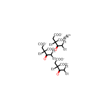 CCC(CC)C(=O)C(CC)(CC(=O)[O-])C(=O)[O-].CCC(CC)C(=O)C(CC)(CC(=O)[O-])C(=O)[O-].CCC(CC)C(=O)C(CC)(CC(=O)[O-])C(=O)[O-].[Al+3].[Al+3]